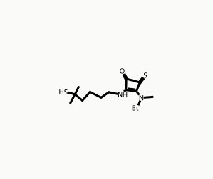 CCN(C)c1c(NCCCCC(C)(C)S)c(=O)c1=S